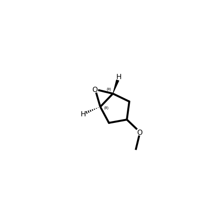 COC1C[C@H]2O[C@@H]2C1